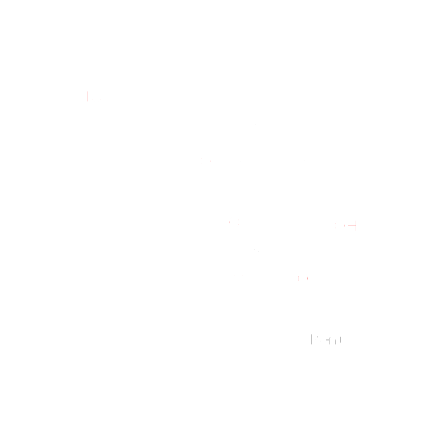 CCCC(C)COc1c(O)c2cccc(OCCCO)c2oc1=O